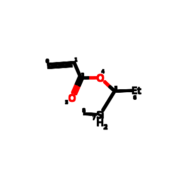 C=CC(=O)OC(CC)[SiH2]C